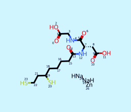 O=C(O)CNC(=O)[C@H](CC(=O)O)NC(=O)CCCCC(S)CCS.[NaH].[NaH].[Zn]